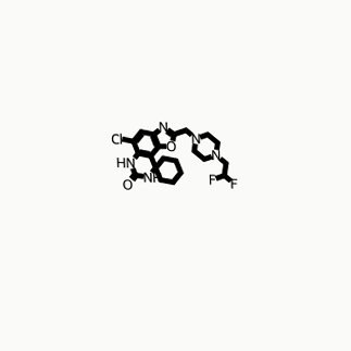 O=C1Nc2c(Cl)cc3nc(CN4CCN(CC(F)F)CC4)oc3c2C2(CCCCC2)N1